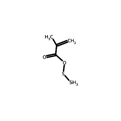 C=C(C)C(=O)OS[SiH3]